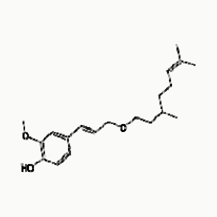 COc1cc(/C=C/COCCC(C)CCC=C(C)C)ccc1O